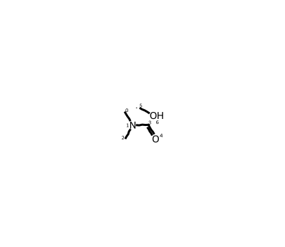 CN(C)C=O.[CH2]O